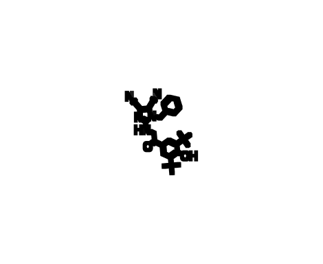 CC(C)(C)c1cc(C(=O)CNc2nc(C#N)c(C#N)n2Cc2ccccc2)cc(C(C)(C)C)c1O